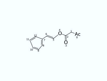 CC(=O)CC(=O)OC=Cc1ccccc1